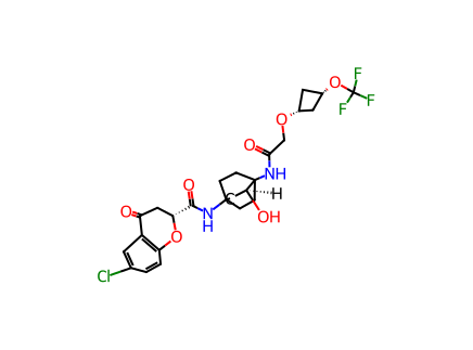 O=C(CO[C@H]1C[C@@H](OC(F)(F)F)C1)NC12CCC(NC(=O)[C@H]3CC(=O)c4cc(Cl)ccc4O3)(CC1)C[C@@H]2O